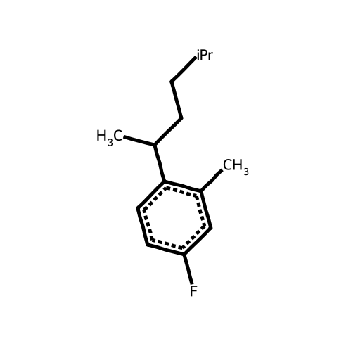 Cc1cc(F)ccc1C(C)CCC(C)C